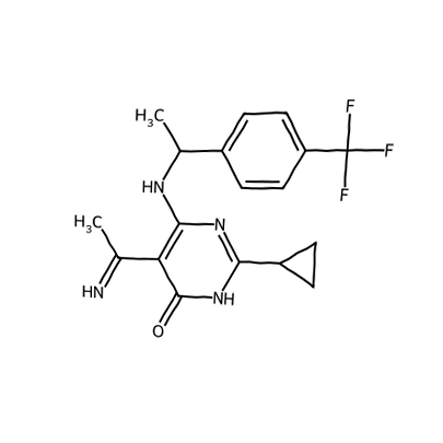 CC(=N)c1c(NC(C)c2ccc(C(F)(F)F)cc2)nc(C2CC2)[nH]c1=O